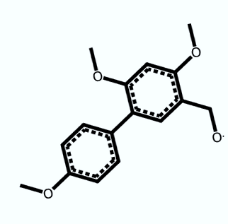 COc1ccc(-c2cc(C[O])c(OC)cc2OC)cc1